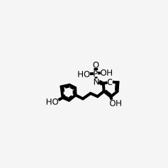 O=P(O)(O)N=C1CC=CC(O)=C1CCCc1cccc(O)c1